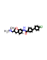 CN(C)CC1COc2cc(NC(=O)c3ccc(-c4ccc(Cl)cc4)cc3)ccc2C1